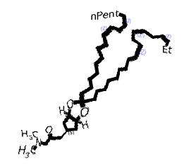 CC/C=C\C/C=C\C/C=C\CCCCCCCCC1(CCCCCCCC/C=C\C/C=C\CCCCC)O[C@H]2C[C@H](CC(=O)CN(C)C)C[C@H]2O1